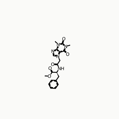 COC(=O)[C@H](Cc1ccccc1)NC(=O)Cn1cnc2c1c(=O)n(C)c(=O)n2C